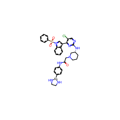 O=C(CN1CCC[C@@H](Nc2ncc(Cl)c(-c3cn(S(=O)(=O)c4ccccc4)c4ccccc34)n2)C1)Nc1ccc([As]2NCCN2)cc1